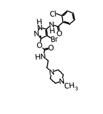 CN1CCN(CCNC(=O)Oc2n[nH]c(NC(=O)c3ccccc3Cl)c2Br)CC1